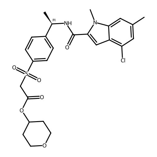 Cc1cc(Cl)c2cc(C(=O)N[C@H](C)c3ccc(S(=O)(=O)CC(=O)OC4CCOCC4)cc3)n(C)c2c1